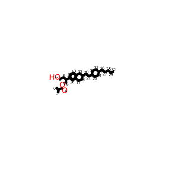 C=C(C)C(=O)OCC(CCO)c1ccc2c(c1)CCC(CCC1CCC(CCCCC)CC1)C2